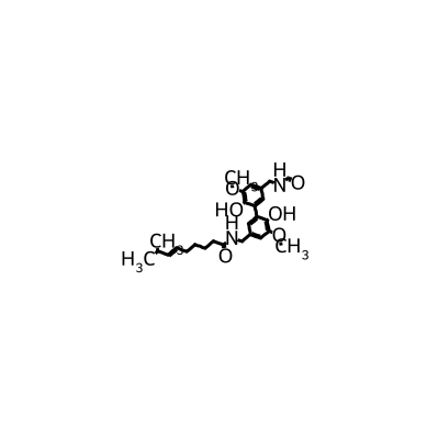 COc1cc(CNC=O)cc(-c2cc(CNC(=O)CCCC/C=C/C(C)C)cc(OC)c2O)c1O